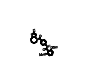 COc1cccc(OC)c1C(=O)Nc1ccc(C(=O)N2CCCCc3sc(Cl)cc32)cc1